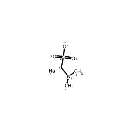 CN(C)CS(=O)(=O)[O-].[Na+]